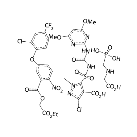 CCOC(=O)COC(=O)c1cc(Oc2ccc(C(F)(F)F)cc2Cl)ccc1[N+](=O)[O-].COc1cc(OC)nc(NC(=O)NS(=O)(=O)c2c(C(=O)O)c(Cl)nn2C)n1.O=C(O)CNCP(=O)(O)O